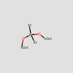 CCCCCCCCO[Si](CC)(CC)OCCCCCCCC